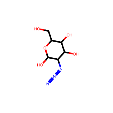 [N-]=[N+]=NC1C(O)OC(CO)C(O)C1O